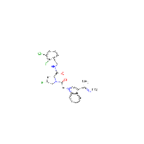 CC(=NC#N)c1cn(CC(=O)N2C[C@H](F)C[C@H]2C(=O)NCc2cccc(Cl)c2F)c2ccccc12